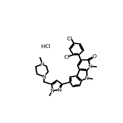 CN1CCN(Cc2cc(-c3ccc4c(c3)c3cc(-c5ccc(Cl)cc5Cl)c(=O)n(C)c3n4C)nn2C)CC1.Cl